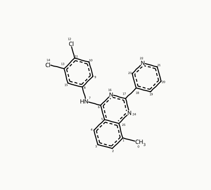 Cc1cccc2c(Nc3ccc(Cl)c(Cl)c3)nc(-c3cccnc3)nc12